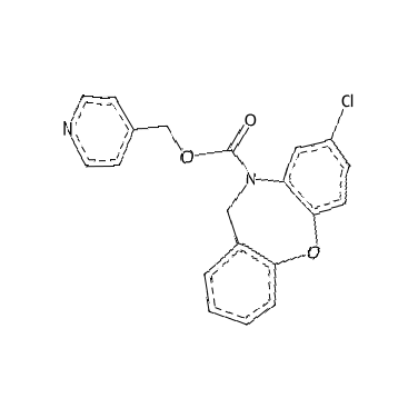 O=C(OCc1ccncc1)N1Cc2ccccc2Oc2ccc(Cl)cc21